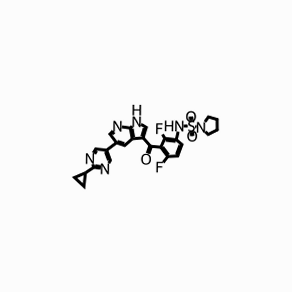 O=C(c1c(F)ccc(NS(=O)(=O)N2CCCC2)c1F)c1c[nH]c2ncc(-c3cnc(C4CC4)nc3)cc12